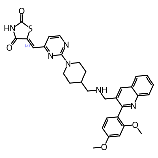 COc1ccc(-c2nc3ccccc3cc2CNCC2CCN(c3nccc(/C=C4\SC(=O)NC4=O)n3)CC2)c(OC)c1